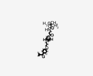 CC(C)(C)OC(=O)NCCC(=O)N1C[C@@H]2C[C@H]1CN2CCCOc1ccc(C(=O)C2CC2)cc1